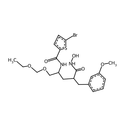 CCOCOCC(CC(Cc1cccc(OC)c1)C(=O)NO)NC(=O)c1ccc(Br)s1